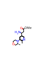 COC(=O)CC(N)c1cnc(C)c(N2CCOC[C@@H]2C)c1